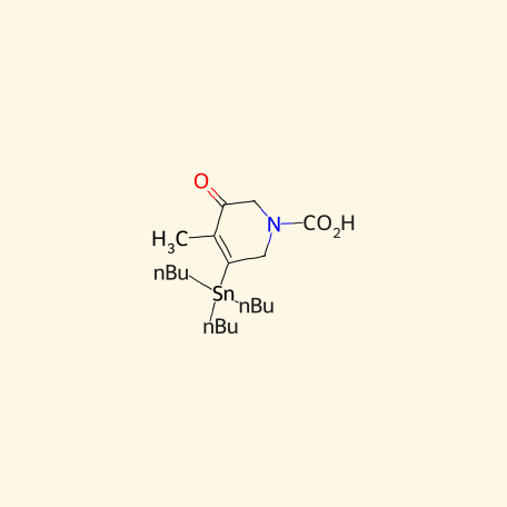 CCC[CH2][Sn]([CH2]CCC)([CH2]CCC)[C]1=C(C)C(=O)CN(C(=O)O)C1